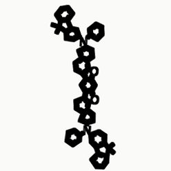 CC1(C)c2ccccc2-c2cc(N(c3ccccc3)c3ccc4c(ccc5c6cc7c(cc6oc45)oc4c5ccc(N(c6ccccc6)c6ccc8c(c6)-c6ccccc6C8(C)C)cc5ccc74)c3)ccc21